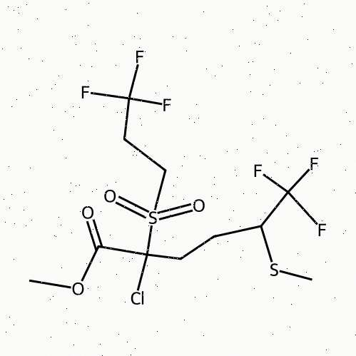 COC(=O)C(Cl)(CCC(SC)C(F)(F)F)S(=O)(=O)CCC(F)(F)F